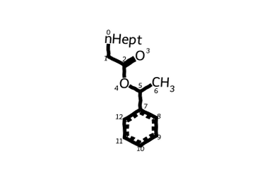 CCCCCCCCC(=O)OC(C)c1ccccc1